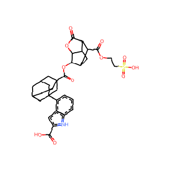 O=C(O)c1cc2c(C34CC5CC(CC(C(=O)OC6C7CC8C6OC(=O)C8C7C(=O)OCCS(=O)(=O)O)(C5)C3)C4)cccc2[nH]1